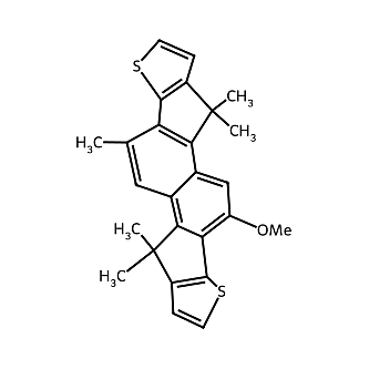 COc1cc2c3c(c(C)cc2c2c1-c1sccc1C2(C)C)-c1sccc1C3(C)C